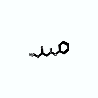 COC(=O)CNOc1ccccc1